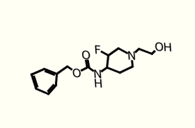 O=C(NC1CCN(CCO)CC1F)OCc1ccccc1